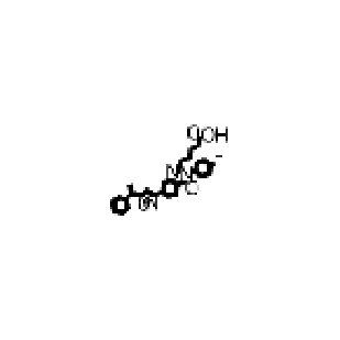 C=C(c1ccccc1)c1cc(-c2ccc3c(=O)n(-c4ccc(F)cc4)c(CCCCC(=O)O)nc3c2)no1